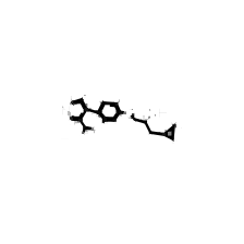 CC1Oc2cc(OC[C@@H](N)CC3CC3)ccc2-c2ccncc21